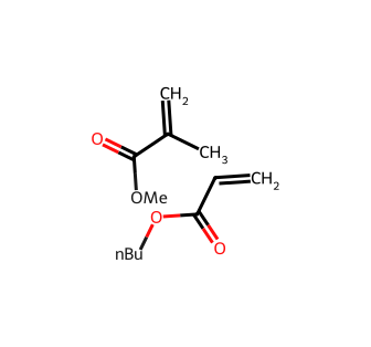 C=C(C)C(=O)OC.C=CC(=O)OCCCC